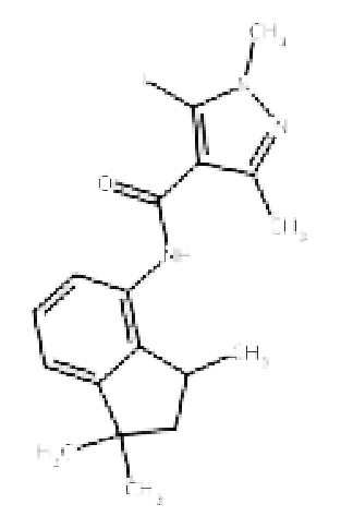 Cc1nn(C)c(I)c1C(=O)Nc1cccc2c1C(C)CC2(C)C